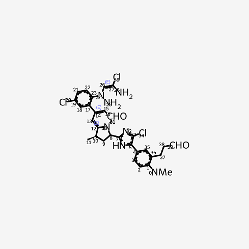 CNc1ccc(-c2[nH]c(C3C[C@@H](C)/C(=C/C(=C\C=O)c4cc(Cl)ccc4N(N)/C=C(\N)Cl)N3C)nc2Cl)cc1CCC=O